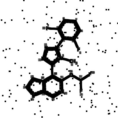 Cn1c(-c2c(F)cccc2F)nnc1-c1c(OC(F)F)ncc2sccc12